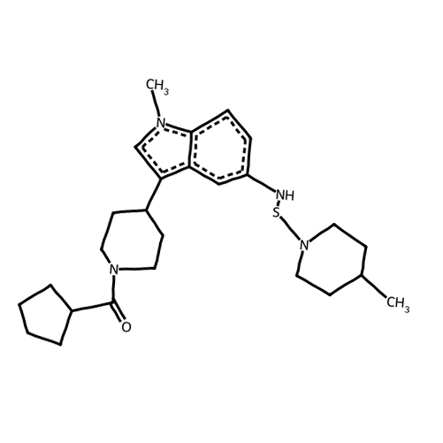 CC1CCN(SNc2ccc3c(c2)c(C2CCN(C(=O)C4CCCC4)CC2)cn3C)CC1